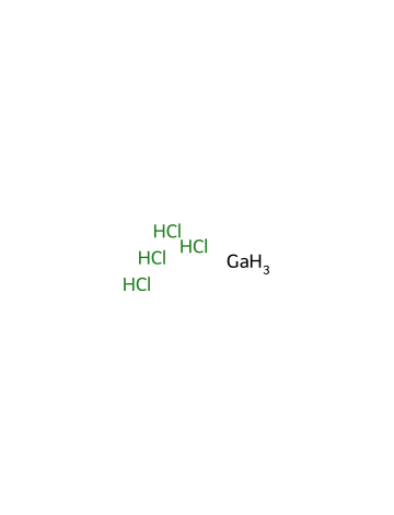 Cl.Cl.Cl.Cl.[GaH3]